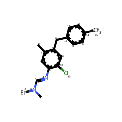 CCN(C)C=Nc1cc(C)c(Cc2ccc(C(F)(F)F)cc2)cc1Cl